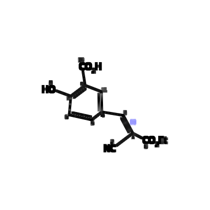 CCOC(=O)/C(C#N)=C/c1ccc(O)c(C(=O)O)c1